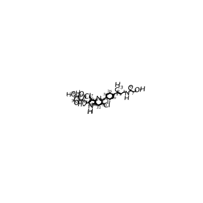 C/C(=C\CNC(=O)CO)c1ccc(-c2nc3c(Cl)c(O[C@@H]4CO[C@H]5[C@@H]4OC[C@H]5O)[nH]c3cc2Cl)cc1